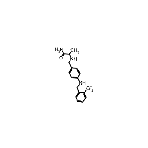 CC(NCc1ccc(NCc2ccccc2C(F)(F)F)cc1)C(N)=O